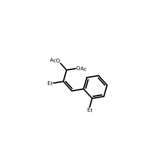 CCC(=Cc1ccccc1CC)C(OC(C)=O)OC(C)=O